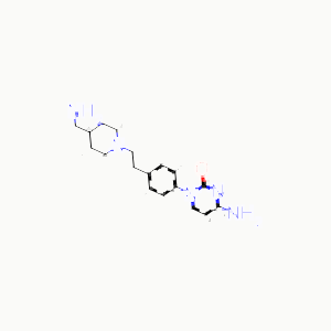 NCC1CCN(CCc2ccc(-n3ccc(N)nc3=O)cc2)CC1